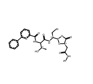 CC(C)C[C@H](NC(=O)C(NC(=O)c1cccc(-c2ccccc2)n1)[C@@H](C)O)B1OC(=O)[C@@H](CC(=O)NC(C)C)O1